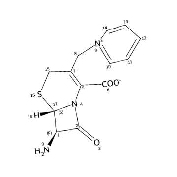 N[C@@H]1C(=O)N2C(C(=O)[O-])=C(C[n+]3ccccc3)CS[C@@H]12